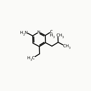 CCc1cc(N)nc(C)c1CC(C)C